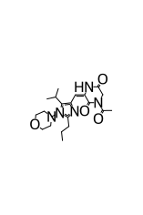 CCCc1nc(C=C2NC(=O)CN(C(C)=O)C2=O)c(C(C)C)n1N1CCOCC1